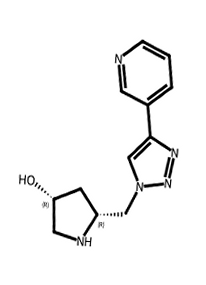 O[C@H]1CN[C@@H](Cn2cc(-c3cccnc3)nn2)C1